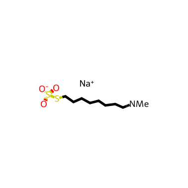 CNCCCCCCCCSS(=O)(=O)[O-].[Na+]